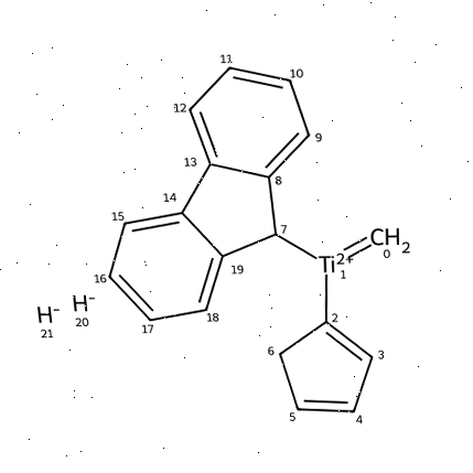 [CH2]=[Ti+2]([C]1=CC=CC1)[CH]1c2ccccc2-c2ccccc21.[H-].[H-]